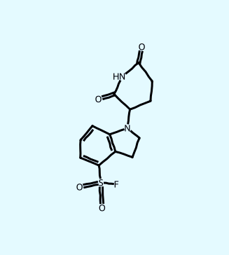 O=C1CCC(N2CCc3c2cccc3S(=O)(=O)F)C(=O)N1